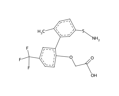 Cc1ccc(SN)cc1-c1cc(C(F)(F)F)ccc1OCC(=O)O